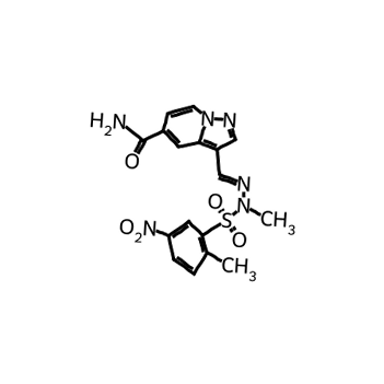 Cc1ccc([N+](=O)[O-])cc1S(=O)(=O)N(C)N=Cc1cnn2ccc(C(N)=O)cc12